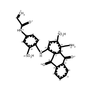 C=CC(=O)Nc1ccc(Nc2cc(S(=O)(=O)O)c(N)c3c2C(=O)c2ccccc2C3=O)c(S(=O)(=O)O)c1